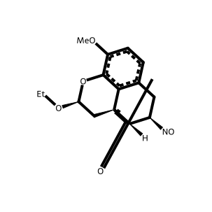 CCO[C@@H]1C[C@]23C=CC(=O)C[C@H]2[C@H](N=O)Cc2ccc(OC)c(c23)O1